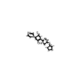 Oc1cc(-n2ccnc2)c(F)cc1-c1ncc(SC2CCCC2)nn1